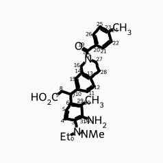 CCN(NC)c1ccc(C(CC(=O)O)c2ccc3c(c2)CN(C(=O)c2ccc(C)cc2)CC3)c(C)c1N